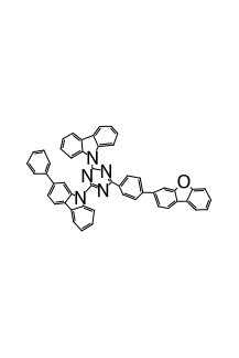 c1ccc(-c2ccc3c4ccccc4n(-c4nc(-c5ccc(-c6ccc7c(c6)oc6ccccc67)cc5)nc(-n5c6ccccc6c6ccccc65)n4)c3c2)cc1